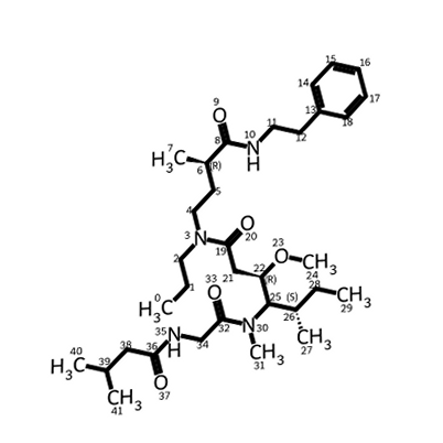 CCCN(CC[C@@H](C)C(=O)NCCc1ccccc1)C(=O)C[C@@H](OC)C([C@@H](C)CC)N(C)C(=O)CNC(=O)CC(C)C